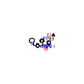 O=C1Nc2ccc(NS(=O)(=O)C3CC3)cc2/C1=C(/Nc1ccc(CN2CCCCCC2)cc1)c1ccccc1